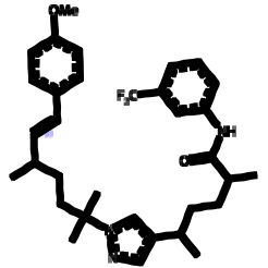 COc1ccc(/C=C/C(C)CCC(C)(C)n2cc(C(C)CCC(C)C(=O)Nc3cccc(C(F)(F)F)c3)cn2)cc1